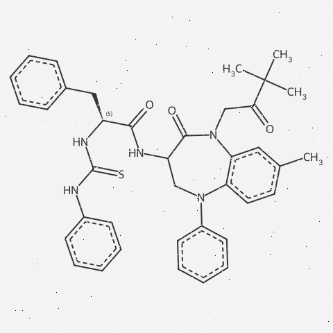 Cc1ccc2c(c1)N(CC(=O)C(C)(C)C)C(=O)C(NC(=O)[C@H](Cc1ccccc1)NC(=S)Nc1ccccc1)CN2c1ccccc1